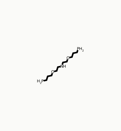 PCCCOCCNCCOCCCP